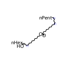 CCCCC/C=C\C/C=C\CCCCCCCC(=O)OCCCCCCCC/C=C\C[C@H](O)CCCCCC